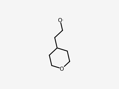 [O]CCC1CCOCC1